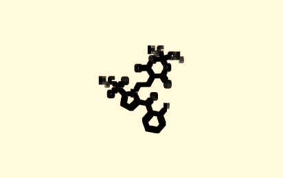 CC1(C)OC(=O)C(CCn2c(C(=O)c3ccccc3F)ccc2S(C)(=O)=O)C(=O)O1